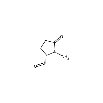 NN1C(=O)CC[C@H]1C=O